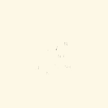 CN1CCC[C@@H]1C(=O)Nc1cc(Cl)ncc1N